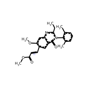 CCc1nc2cc(OC)c(/C=C/C(=O)OC)cc2c(=O)n1-c1c(C)cccc1C